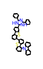 C1=CCCC(C2=NC(c3ccccc3)NC(c3ccc4c(c3)sc3c(-c5cccc6c5sc5cccc(-n7c8ccccc8c8ccccc87)c56)cccc34)N2)=C1